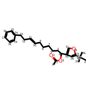 CC(=O)OC(CCCCCC=CCCc1ccccc1)c1coc([Si](C)(C)C)c1